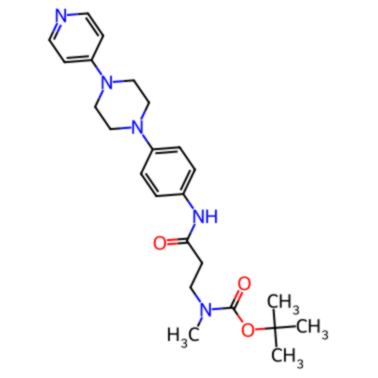 CN(CCC(=O)Nc1ccc(N2CCN(c3ccncc3)CC2)cc1)C(=O)OC(C)(C)C